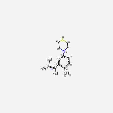 CCC/C(CC)=C(\CC)c1cc(N2CCSCC2)ccc1C